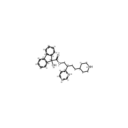 O=C(OCC(CCC1CCNCC1)c1ccncn1)C1(O)c2ccccc2-c2ccccc21